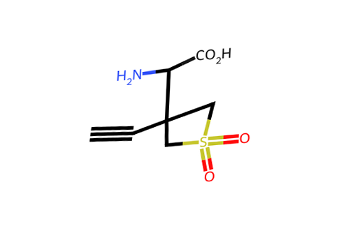 C#CC1(C(N)C(=O)O)CS(=O)(=O)C1